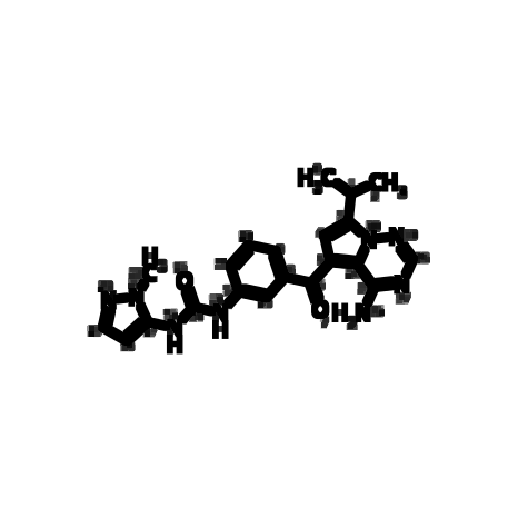 CC(C)c1cc(C(=O)c2cccc(NC(=O)Nc3ccnn3C)c2)c2c(N)ncnn12